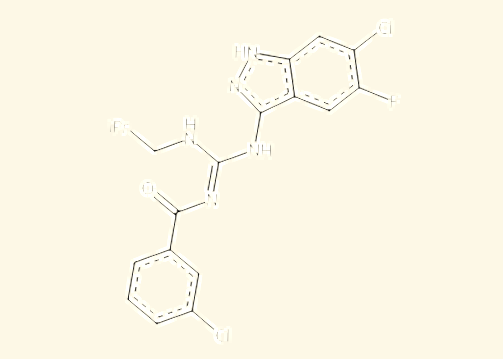 CC(C)CN/C(=N\C(=O)c1cccc(Cl)c1)Nc1n[nH]c2cc(Cl)c(F)cc12